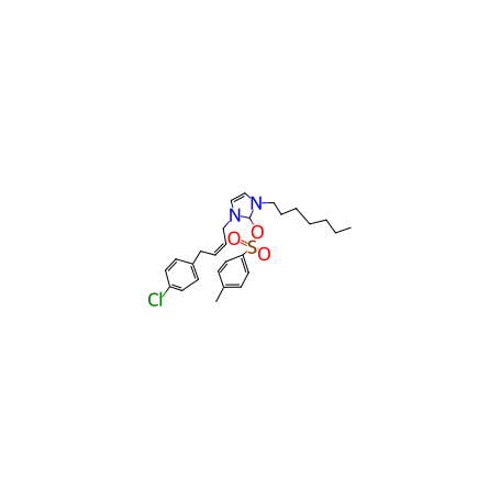 CCCCCCCN1C=CN(C/C=C\Cc2ccc(Cl)cc2)C1OS(=O)(=O)c1ccc(C)cc1